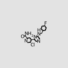 NC(=O)c1cc(-c2cncc(NCc3ccc(F)cc3)n2)c(Cl)cn1